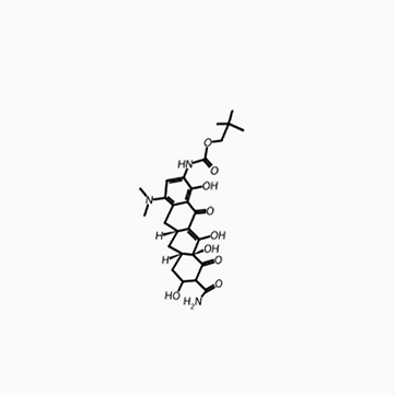 CN(C)c1cc(NC(=O)OCC(C)(C)C)c(O)c2c1C[C@H]1C[C@H]3CC(O)C(C(N)=O)C(=O)[C@@]3(O)C(O)=C1C2=O